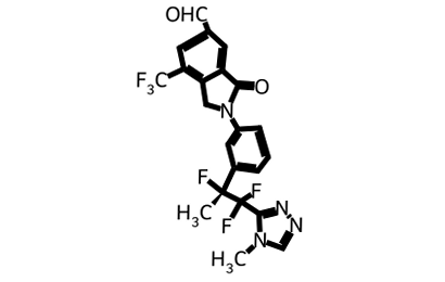 Cn1cnnc1C(F)(F)[C@](C)(F)c1cccc(N2Cc3c(cc(C=O)cc3C(F)(F)F)C2=O)c1